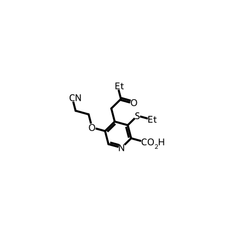 CCSc1c(C(=O)O)ncc(OCCC#N)c1CC(=O)CC